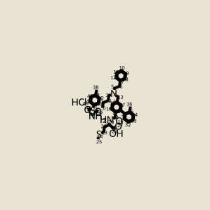 CCCCN(CCc1ccccc1)Cc1ccc(C(=O)NC(CCSC)C(=O)O)c(-c2ccccc2C)c1.Cc1ccc(S(N)(=O)=O)cc1.Cl